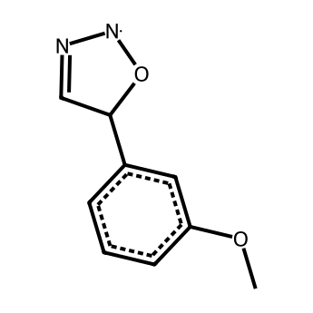 COc1cccc(C2C=N[N]O2)c1